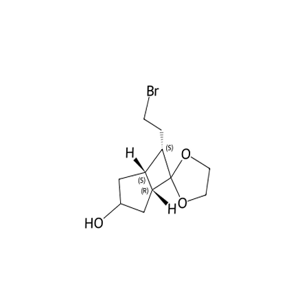 OC1C[C@H]2[C@@H](C1)C1(OCCO1)[C@H]2CCBr